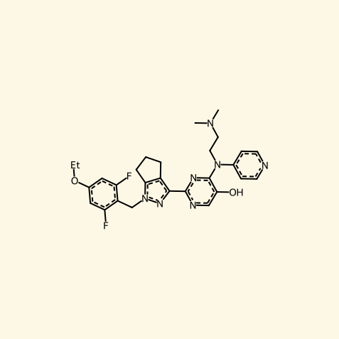 CCOc1cc(F)c(Cn2nc(-c3ncc(O)c(N(CCN(C)C)c4ccncc4)n3)c3c2CCC3)c(F)c1